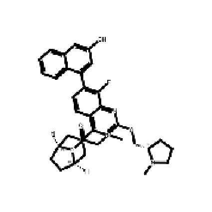 CNCC(=O)N1[C@@H]2CC[C@H]1CN(c1nc(OC[C@@H]3CCCN3C)nc3c(F)c(-c4cc(O)cc5ccccc45)ccc13)C2